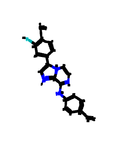 COc1ccc(-c2cnc3c(Nc4ccc(NC(C)=O)cc4)nccn23)cc1F